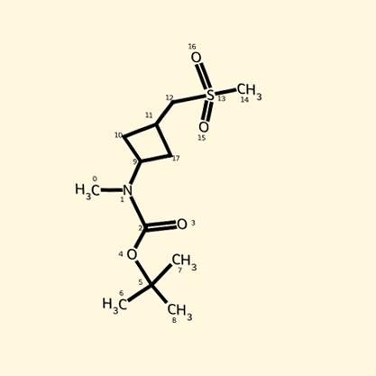 CN(C(=O)OC(C)(C)C)C1CC(CS(C)(=O)=O)C1